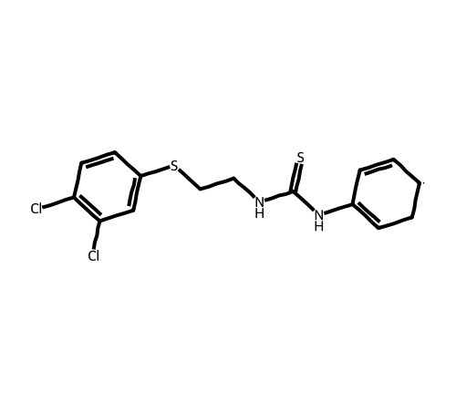 S=C(NCCSc1ccc(Cl)c(Cl)c1)NC1=CC[CH]C=C1